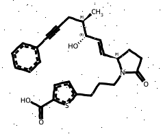 C[C@H](CC#Cc1ccccc1)[C@@H](O)C=C[C@H]1CCC(=O)N1CCCc1ccc(C(=O)O)s1